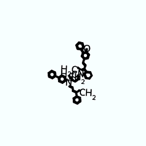 C=C/C(=C\C=C\N(C(=C)/C=C\C(=C)n1c(C=C)c(/C=C/c2ccc3oc4ccccc4c3c2)c2c1=CCCC=2)c1ccc(-c2ccccc2)cc1)c1ccccc1